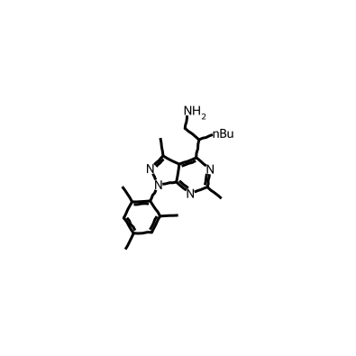 CCCCC(CN)c1nc(C)nc2c1c(C)nn2-c1c(C)cc(C)cc1C